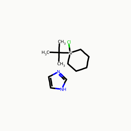 CC(C)(C)[Si]1(Cl)CCCCC1.c1c[nH]cn1